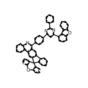 c1ccc(-c2nc(-c3ccc(-c4nc5ccccc5c5cc6c(cc45)-c4ccccc4C64c5ccccc5Oc5ccccc54)cc3)cc(-c3cccc4oc5ccccc5c34)n2)cc1